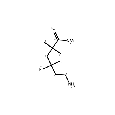 CCC(C)(CCN)CC(C)(C)C(=O)NC